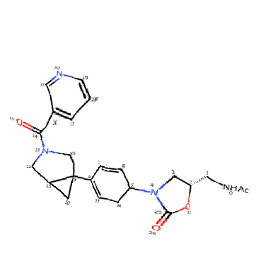 CC(=O)NC[C@H]1CN(C2C=CC(C34CC3CN(C(=O)c3cccnc3)C4)=CC2)C(=O)O1